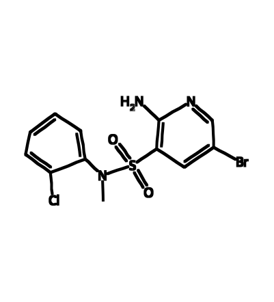 CN(c1ccccc1Cl)S(=O)(=O)c1cc(Br)cnc1N